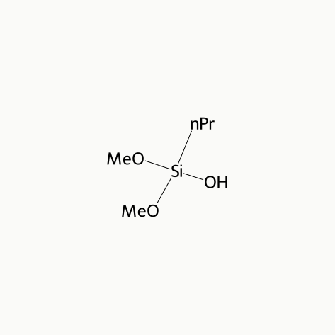 CCC[Si](O)(OC)OC